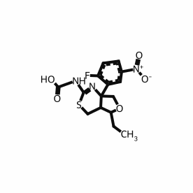 CCC1OCC2(c3cc([N+](=O)[O-])ccc3F)N=C(NC(=O)O)SCC12